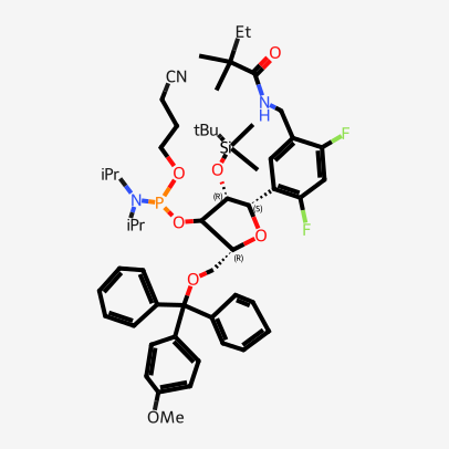 CCC(C)(C)C(=O)NCc1cc([C@@H]2O[C@H](COC(c3ccccc3)(c3ccccc3)c3ccc(OC)cc3)C(OP(OCCCC#N)N(C(C)C)C(C)C)[C@@H]2O[Si](C)(C)C(C)(C)C)c(F)cc1F